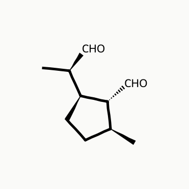 C[C@@H](C=O)[C@@H]1CC[C@H](C)[C@H]1C=O